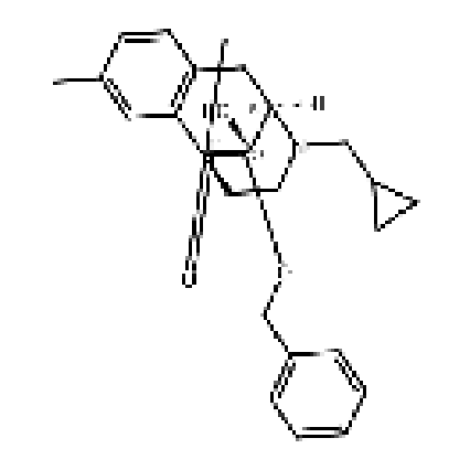 Cc1ccc2c(c1)[C@]13CCN(CC4CC4)[C@H](C2)[C@]1(O)CC(OCc1ccccc1)C(=O)C3